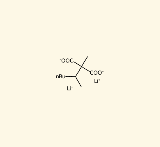 CCCCC(C)C(C)(C(=O)[O-])C(=O)[O-].[Li+].[Li+]